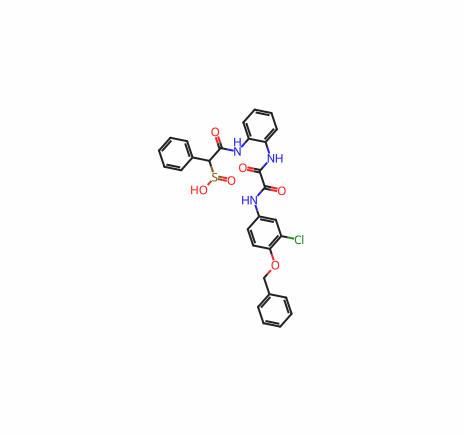 O=C(Nc1ccc(OCc2ccccc2)c(Cl)c1)C(=O)Nc1ccccc1NC(=O)C(c1ccccc1)S(=O)O